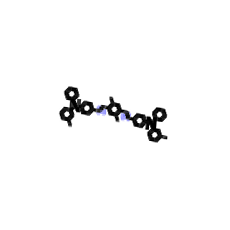 Cc1cccc(N(c2ccccc2)c2ccc(/C=C/c3cc(C)c(/C=C/c4ccc(N(c5ccccc5)c5cccc(C)c5)cc4)cc3C)cc2)c1